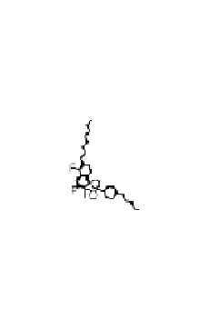 CCCCCCCCc1ccc2c(OC(=O)C3CCC(CCCCC)CC3)c(F)c(F)cc2c1F